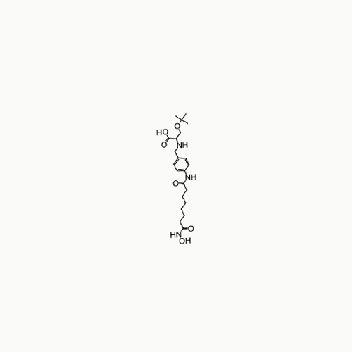 CC(C)(C)OCC(NCc1ccc(NC(=O)CCCCCCC(=O)NO)cc1)C(=O)O